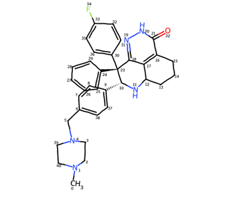 CN1CCN(Cc2ccc([C@H]3NC4CCCc5c4c(n[nH]c5=O)[C@@]3(c3ccccc3)c3ccc(F)cc3)cc2)CC1